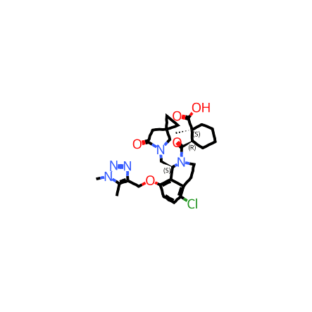 Cc1c(COc2ccc(Cl)c3c2[C@@H](CN2CC4(CC4)CC2=O)N(C(=O)[C@@H]2CCCC[C@]2(C)C(=O)O)CC3)nnn1C